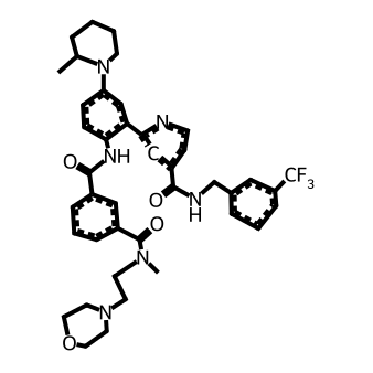 CC1CCCCN1c1ccc(NC(=O)c2cccc(C(=O)N(C)CCN3CCOCC3)c2)c(-c2cc(C(=O)NCc3cccc(C(F)(F)F)c3)ccn2)c1